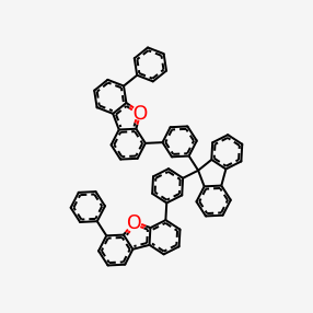 c1ccc(-c2cccc3c2oc2c(-c4cccc(C5(c6cccc(-c7cccc8c7oc7c(-c9ccccc9)cccc78)c6)c6ccccc6-c6ccccc65)c4)cccc23)cc1